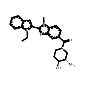 CCn1c(-c2nc3cc(C(=O)N4CC[C@H](O)[C@@H](N)C4)ccc3n2C)cc2ccccc21